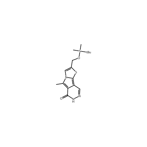 Cc1c2c(=O)[nH]ncc2c2sc(CO[Si](C)(C)C(C)(C)C)cn12